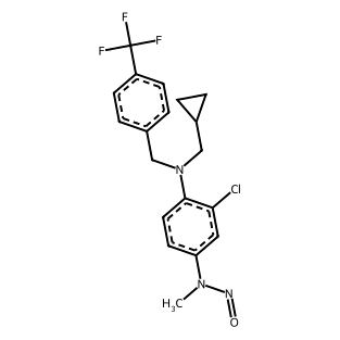 CN(N=O)c1ccc(N(Cc2ccc(C(F)(F)F)cc2)CC2CC2)c(Cl)c1